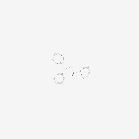 Cc1cc(Br)cc(C(=O)N[C@H](c2ccc(C)c(F)c2)c2cc(F)ccc2O)n1